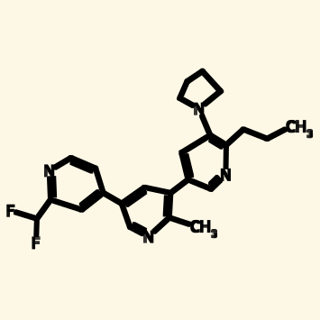 CCCc1ncc(-c2cc(-c3ccnc(C(F)F)c3)cnc2C)cc1N1CCCC1